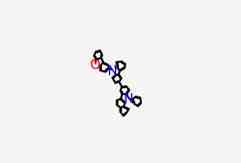 c1ccc(-n2c3ccc(-c4ccc5c(c4)c4ccccc4n5-c4ccc5oc6ccccc6c5c4)cc3c3ccc4ccccc4c32)cc1